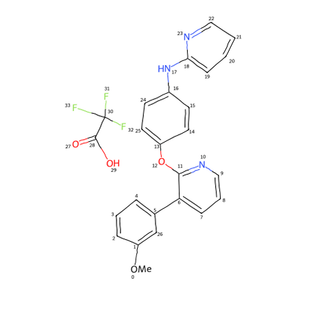 COc1cccc(-c2cccnc2Oc2ccc(Nc3ccccn3)cc2)c1.O=C(O)C(F)(F)F